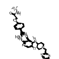 CNC(=O)COc1ccc(-c2nc3c(NC4CCN(Cc5nccs5)CC4)c(Cl)cnc3[nH]2)cc1